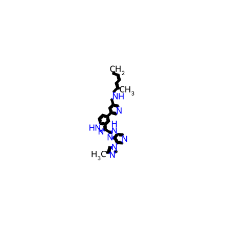 C=C/C=C\C=C(/C)CNCc1cncc(-c2ccc3[nH]nc(-c4nc5c(-n6cnc(C)c6)cncc5[nH]4)c3c2)c1